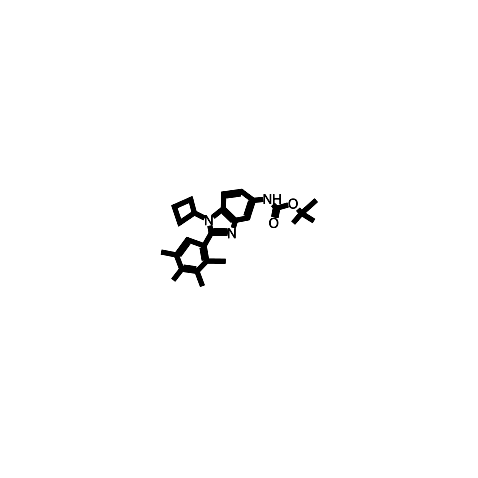 Cc1cc(-c2nc3cc(NC(=O)OC(C)(C)C)ccc3n2C2CCC2)c(C)c(C)c1C